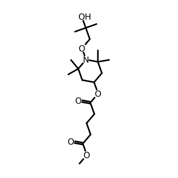 COC(=O)CCCC(=O)OC1CC(C)(C)N(OCC(C)(C)O)C(C)(C)C1